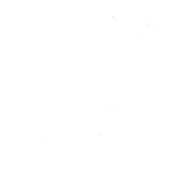 NC(=O)c1[nH]cc(CCC(=O)O)c1-c1ccc(NC(=O)Nc2cc(C(F)(F)F)ccc2Cl)cc1